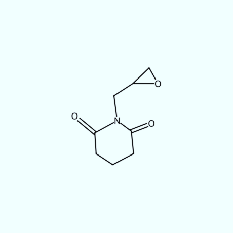 O=C1CCCC(=O)N1CC1CO1